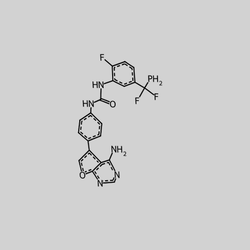 Nc1ncnc2occ(-c3ccc(NC(=O)Nc4cc(C(F)(F)P)ccc4F)cc3)c12